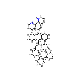 c1cnc2c(c1)cc(-c1c3ccccc3c(-c3cc4cccc5c6ccccc6c6ccccc6c6cccc3c6c45)c3ccccc13)c1cccnc12